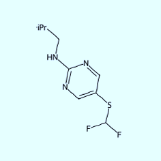 C[C](C)CNc1ncc(SC(F)F)cn1